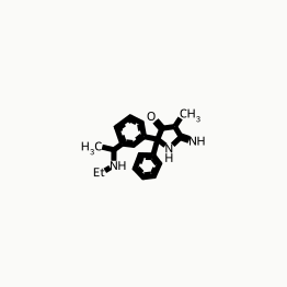 CCNC(C)c1cccc(C2(c3ccccc3)NC(=N)C(C)C2=O)c1